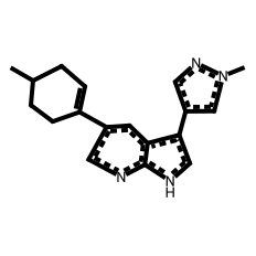 CC1CC=C(c2cnc3[nH]cc(-c4cnn(C)c4)c3c2)CC1